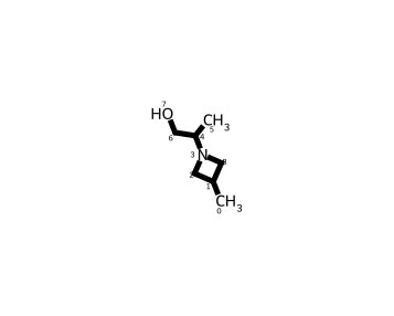 CC1CN(C(C)CO)C1